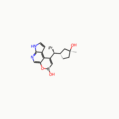 CC(C)[C@H](C1=CB(O)Oc2cnc3[nH]ccc3c21)[C@H]1CC[C@](C)(O)C1